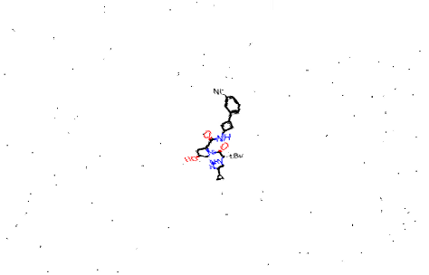 CC(C)(C)[C@@H](C(=O)N1CC(O)CC1C(=O)NC1CC(c2cccc(C#N)c2)C1)n1cc(C2CC2)nn1